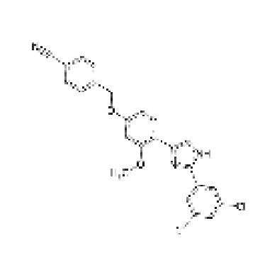 COc1cc(OCc2ccc(C#N)cc2)ccc1-c1c[nH]c(-c2cc(Cl)cc(Cl)c2)n1